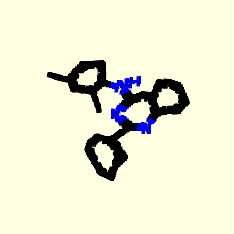 Cc1ccc(Nc2nc(-c3ccccc3)nc3ccccc23)c(C)c1